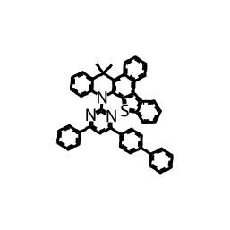 CC1(C)c2ccccc2N(c2nc(-c3ccccc3)cc(-c3ccc(-c4ccccc4)cc3)n2)c2c1c1ccccc1c1c2sc2ccccc21